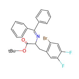 CC(C)(C)OC(=O)C(Cc1cc(F)c(F)cc1Br)N=C(c1ccccc1)c1ccccc1